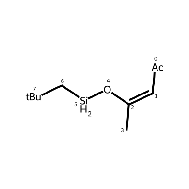 CC(=O)/C=C(/C)O[SiH2]CC(C)(C)C